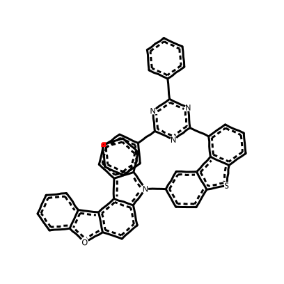 c1ccc(-c2nc(-c3ccccc3)nc(-c3cccc4sc5ccc(-n6c7ccccc7c7c8c(ccc76)oc6ccccc68)cc5c34)n2)cc1